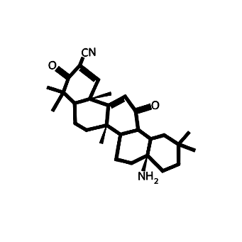 CC1(C)CC[C@]2(N)CCC3C(C(=O)C=C4[C@@]5(C)C=C(C#N)C(=O)C(C)(C)C5CC[C@]43C)C2C1